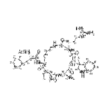 CCCC[C@H]1NC(=O)[C@@H]2CCCN2C(=O)[C@@H](NC(=O)[C@H](Cc2ccccc2)NC(C)=O)CCCNC(=O)[C@H](CCCNC(=N)N)NC(=O)[C@H](Cc2c[nH]c3ccccc23)NC1=O